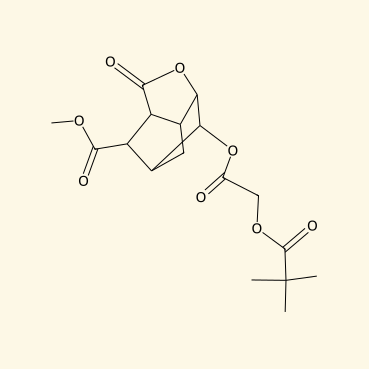 COC(=O)C1C2CC3C(OC(=O)C31)C2OC(=O)COC(=O)C(C)(C)C